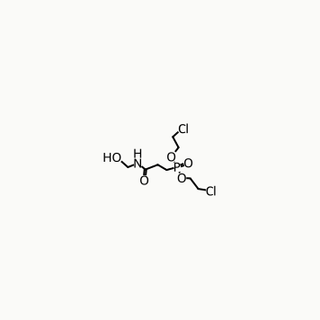 O=C(CCP(=O)(OCCCl)OCCCl)NCO